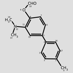 Cc1ccc(-c2ccc(OC=O)c(N(C)C)c2)cc1